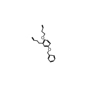 C=CCCOc1[c]cc(OCc2ccccc2)cc1CCC=C